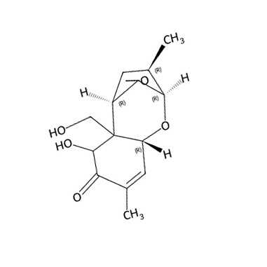 CC1=C[C@H]2O[C@@H]3[C@H](C)C[C@@H](C34CO4)C2(CO)C(O)C1=O